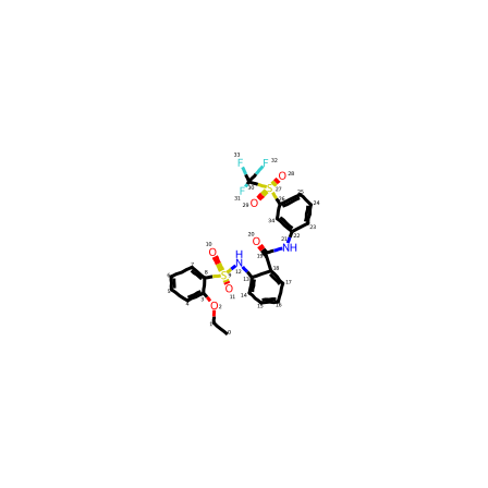 CCOc1ccccc1S(=O)(=O)Nc1ccccc1C(=O)Nc1cccc(S(=O)(=O)C(F)(F)F)c1